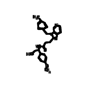 Cc1ccc(Cn2c(CCC(=O)NC(CO)c3ccc(OC(F)(F)F)cc3)nc3ccncc32)cc1